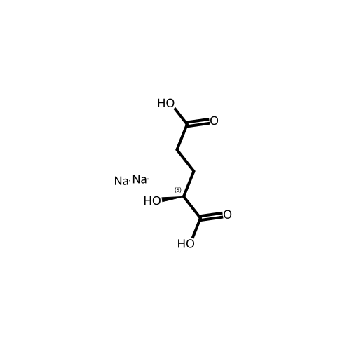 O=C(O)CC[C@H](O)C(=O)O.[Na].[Na]